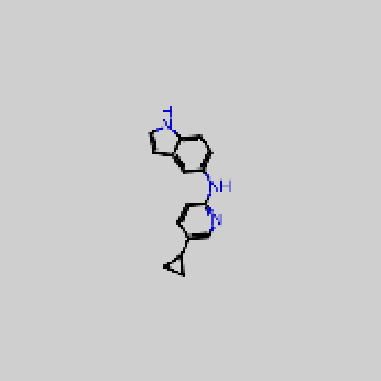 c1cc2cc(Nc3ccc(C4CC4)cn3)ccc2[nH]1